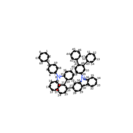 c1ccc(-c2ccc(N(c3ccccc3)c3ccccc3-c3ccccc3-c3ccc4c5ccccc5n(-c5ccc(-c6ccccc6)c(-c6ccccc6)c5)c4c3)cc2)cc1